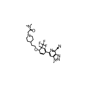 CN(C)C(=O)CN1CCC(CCOC2C=CC(c3cc4c(nnn4C)c(C#N)n3)=CC2(C)C(F)(F)F)CC1